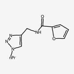 CCCn1cc(CNC(=O)c2ccco2)nn1